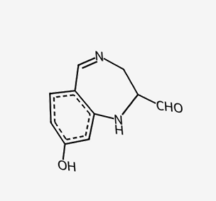 O=CC1CN=Cc2ccc(O)cc2N1